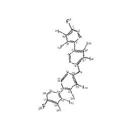 Fc1ccc(-c2ccc(Cc3ccc(-c4ccc(F)c(I)c4I)c(I)c3I)c(I)c2I)c(I)c1I